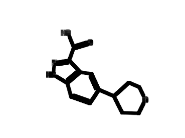 O=C(O)c1n[nH]c2ccc(C3CCOCC3)cc12